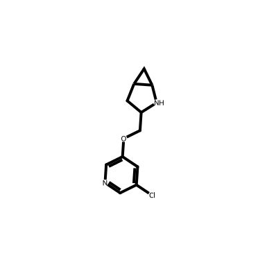 Clc1cncc(OCC2CC3CC3N2)c1